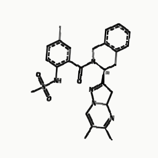 CC1=CN2N=C([C@@H]3Cc4ccccc4CN3C(=O)c3cc(C)ccc3NS(C)(=O)=O)CC2N=C1C